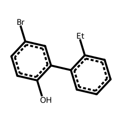 CCc1ccccc1-c1cc(Br)ccc1O